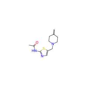 C=C1CCN(Cc2cnc(NC(C)=O)s2)CC1